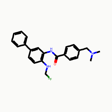 CN(C)Cc1ccc(C(=O)Nc2cc(-c3ccccc3)ccc2NC[18F])cc1